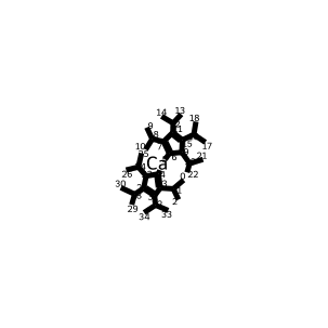 CC(C)C1=[C]([Ca][C]2=C(C(C)C)C(C(C)C)=C(C(C)C)C2C(C)C)C(C(C)C)C(C(C)C)=C1C(C)C